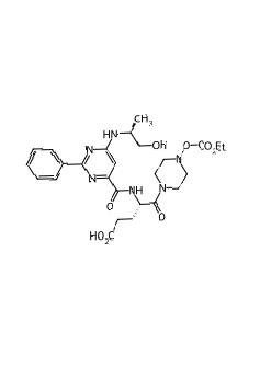 CCOC(=O)ON1CCN(C(=O)[C@H](CCC(=O)O)NC(=O)c2cc(N[C@@H](C)CO)nc(-c3ccccc3)n2)CC1